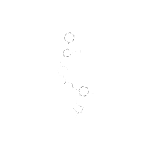 Cc1nnn(Cc2cc(Cl)ccc2C=CC(=O)N2CCN(Cc3cc(-c4ccccc4)n(C)n3)CC2)n1